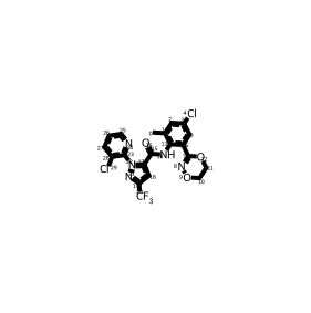 Cc1cc(Cl)cc(C2=NOCCO2)c1NC(=O)c1cc(C(F)(F)F)nn1-c1ncccc1Cl